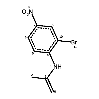 C=C(C)Nc1ccc([N+](=O)[O-])cc1Br